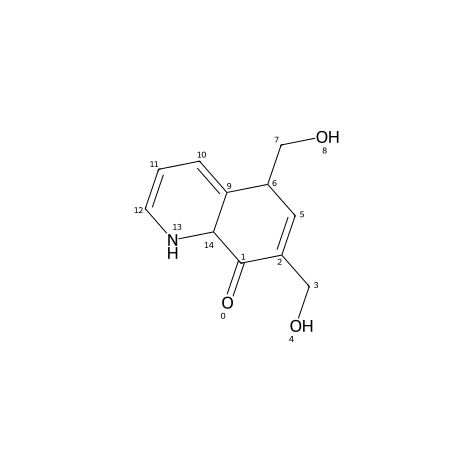 O=C1C(CO)=CC(CO)C2=CC=CNC12